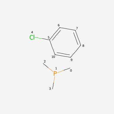 CP(C)C.Clc1ccccc1